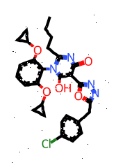 CCCCc1nc(=O)c(-c2nnc(Cc3ccc(Cl)cc3)o2)c(O)n1-c1c(OC2CC2)cccc1OC1CC1